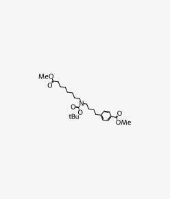 COC(=O)CCCCCCCN(CCCCc1ccc(C(=O)OC)cc1)C(=O)OC(C)(C)C